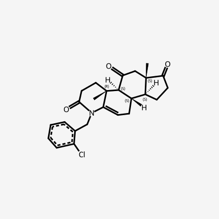 C[C@]12CCC(=O)N(Cc3ccccc3Cl)C1=CC[C@@H]1[C@@H]2C(=O)C[C@]2(C)C(=O)CC[C@@H]12